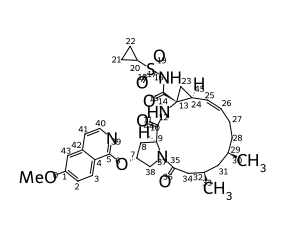 COc1ccc2c(O[C@@H]3C[C@H]4C(=O)N[C@]5(C(=O)NS(=O)(=O)C6CC6)C[C@H]5/C=C\CC[C@@H](C)C[C@@H](C)CC(=O)N4C3)nccc2c1